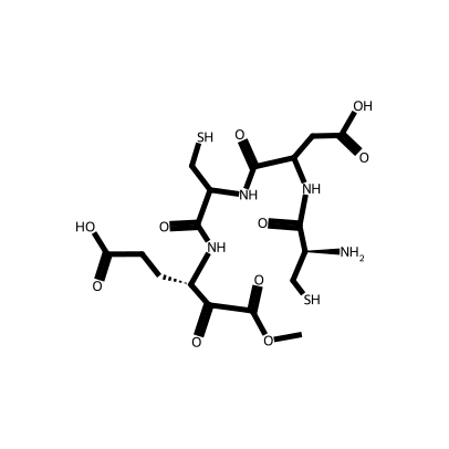 COC(=O)C(=O)[C@H](CCC(=O)O)NC(=O)C(CS)NC(=O)C(CC(=O)O)NC(=O)[C@@H](N)CS